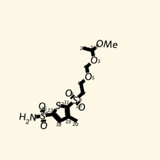 COC(C)OCOCCS(=O)(=O)c1sc(S(N)(=O)=O)cc1C